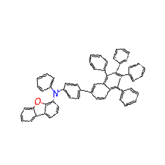 c1ccc(-c2c(-c3ccccc3)c(-c3ccccc3)c3cc(-c4ccc(N(c5ccccc5)c5cccc6c5oc5ccccc56)cc4)ccc3c2-c2ccccc2)cc1